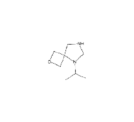 CC(C)N1CNCC12COC2